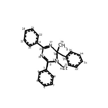 CCN1C(c2ccccc2)=NC(c2ccccc2)=NC1(C)c1ccccc1